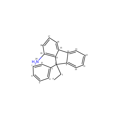 CCC1(c2ccccc2)c2ccccc2-c2cccc(N)c21